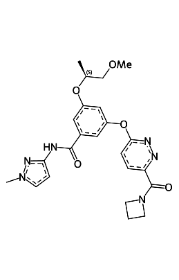 COC[C@H](C)Oc1cc(Oc2ccc(C(=O)N3CCC3)nn2)cc(C(=O)Nc2ccn(C)n2)c1